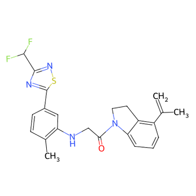 C=C(C)c1cccc2c1CCN2C(=O)CNc1cc(-c2nc(C(F)F)ns2)ccc1C